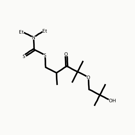 CCN(CC)C(=S)SCC(C)C(=O)C(C)(C)OCC(C)(C)O